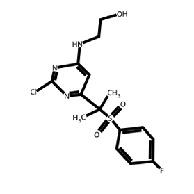 CC(C)(c1cc(NCCO)nc(Cl)n1)S(=O)(=O)c1ccc(F)cc1